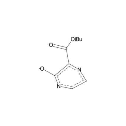 CC(C)COC(=O)c1nccnc1[O]